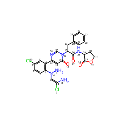 N/C(Cl)=C\N(N)c1ccc(Cl)cc1-c1cc(=O)n(C(Cc2ccccc2)C(=O)NC2CCOC2=O)cn1